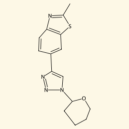 Cc1nc2ccc(-c3cn(C4CCCCO4)nn3)cc2s1